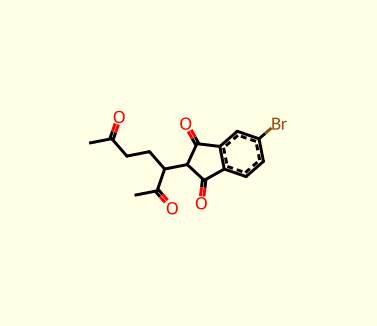 CC(=O)CCC(C(C)=O)C1C(=O)c2ccc(Br)cc2C1=O